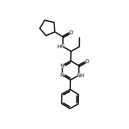 CCC(NC(=O)C1CCCC1)c1nnc(-c2ccccc2)[nH]c1=O